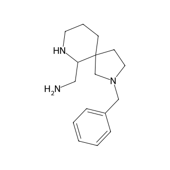 NCC1NCCCC12CCN(Cc1ccccc1)C2